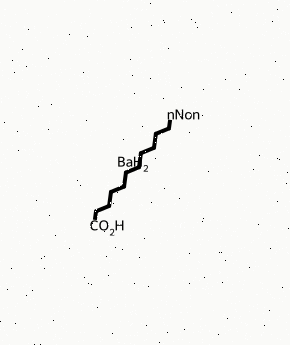 CCCCCCCCCCCCCCCCCCCC(=O)O.[BaH2]